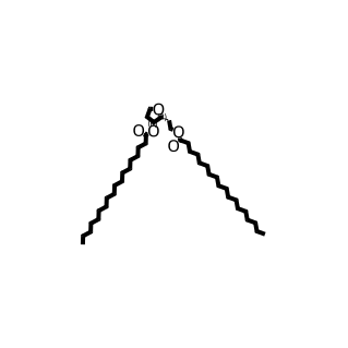 CCCCCCCCCCCCCCCCCC(=O)OCC[C@H]1OCC[C@H]1OC(=O)CCCCCCCCCCCCCCCCC